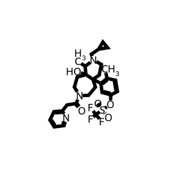 Cc1ccc(OS(=O)(=O)C(F)(F)F)cc1C12CCN(C(=O)Cc3ccccn3)CCC1(O)C(C)N(CC1CC1)CC2